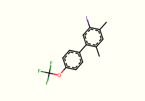 Cc1cc(C)c(-c2ccc(OC(F)(F)F)cc2)cc1I